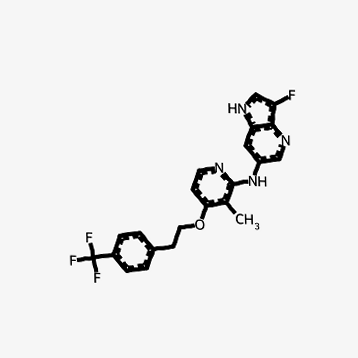 Cc1c(OCCc2ccc(C(F)(F)F)cc2)ccnc1Nc1cnc2c(F)c[nH]c2c1